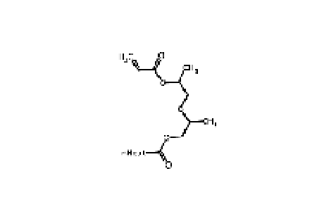 C=CC(=O)OC(C)COC(C)COC(=O)CCCCCCC